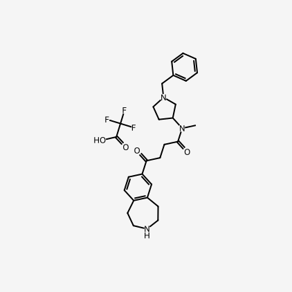 CN(C(=O)CCC(=O)c1ccc2c(c1)CCNCC2)C1CCN(Cc2ccccc2)C1.O=C(O)C(F)(F)F